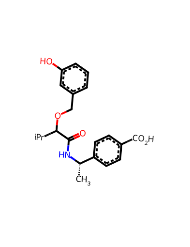 CC(C)C(OCc1cccc(O)c1)C(=O)N[C@@H](C)c1ccc(C(=O)O)cc1